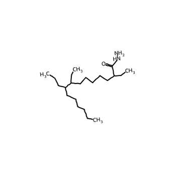 CCCCCCC(CCC)C(CC)CCCCCC(CC)C(=O)NN